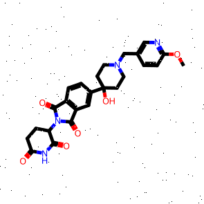 COc1ccc(CN2CCC(O)(c3ccc4c(c3)C(=O)N(C3CCC(=O)NC3=O)C4=O)CC2)cn1